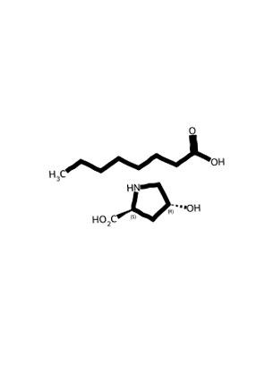 CCCCCCCC(=O)O.O=C(O)[C@@H]1C[C@@H](O)CN1